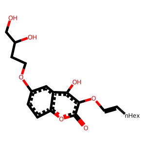 CCCCCC/C=C/Oc1c(O)c2cc(OCCC(O)CO)ccc2oc1=O